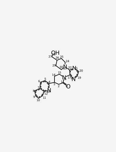 O=C1CC(c2ccc3ccccc3n2)CCN1c1nccnc1N1CCC(CO)CC1